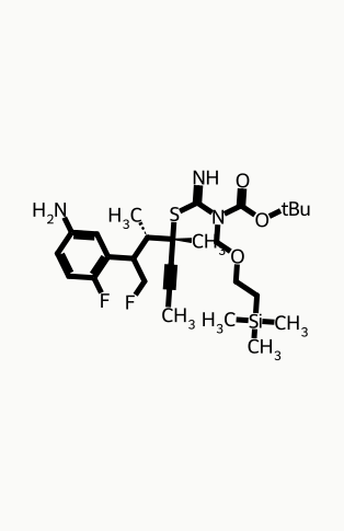 CC#C[C@@](C)(SC(=N)N(COCC[Si](C)(C)C)C(=O)OC(C)(C)C)[C@@H](C)C(CF)c1cc(N)ccc1F